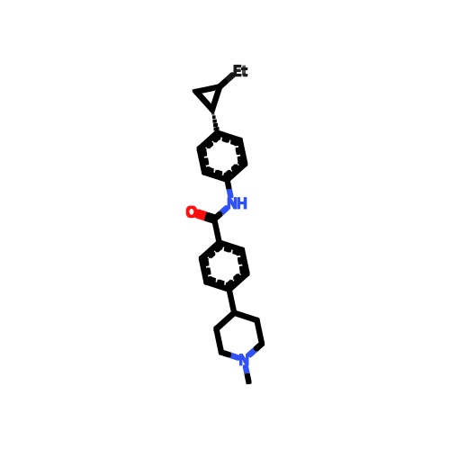 CCC1C[C@H]1c1ccc(NC(=O)c2ccc(C3CCN(C)CC3)cc2)cc1